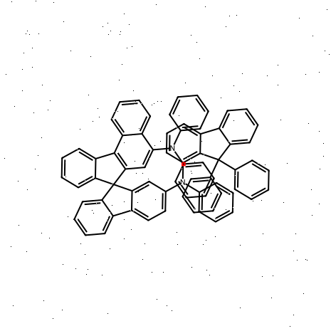 c1ccc(N(c2ccc3c(c2)C2(c4ccccc4-3)c3ccccc3-c3c2cc(N(c2ccccc2)c2ccccc2)c2ccccc32)c2cccc3c2C(c2ccccc2)(c2ccccc2)c2ccccc2-3)cc1